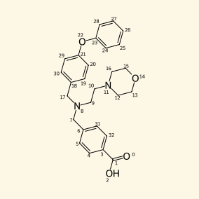 O=C(O)c1ccc(CN(CCN2CCOCC2)Cc2ccc(Oc3ccccc3)cc2)cc1